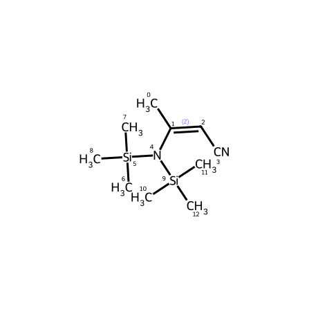 C/C(=C/C#N)N([Si](C)(C)C)[Si](C)(C)C